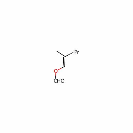 CC(=CO[C]=O)C(C)C